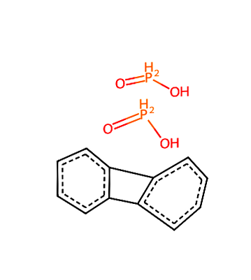 O=[PH2]O.O=[PH2]O.c1ccc2c(c1)-c1ccccc1-2